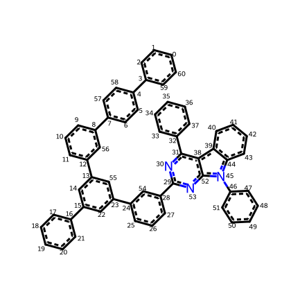 c1ccc(-c2ccc(-c3cccc(-c4cc(-c5ccccc5)cc(-c5cccc(-c6nc(-c7ccccc7)c7c8ccccc8n(-c8ccccc8)c7n6)c5)c4)c3)cc2)cc1